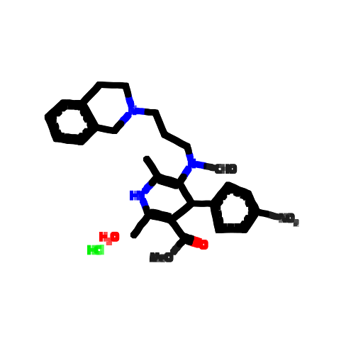 COC(=O)C1=C(C)NC(C)=C(N(C=O)CCCN2CCc3ccccc3C2)C1c1ccc([N+](=O)[O-])cc1.Cl.O